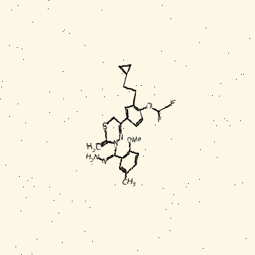 C=C1SCC(c2ccc(OC(F)F)c(CCC3CC3)c2)=NN1/C(=N\N)c1cc(C)ccc1OC